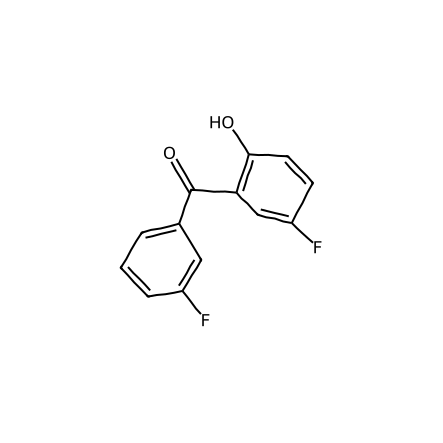 O=C(c1cccc(F)c1)c1cc(F)ccc1O